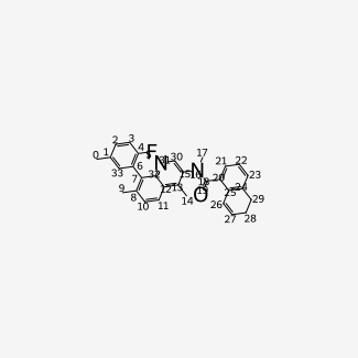 Cc1ccc(F)c(-c2c(C)ccc3c(C)c(N(C)C(=O)c4cccc5c4C=CCC5)cnc23)c1